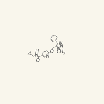 Cn1nnc(-c2ccccc2)c1COc1ccc(C(=O)NCC2CC2)cn1